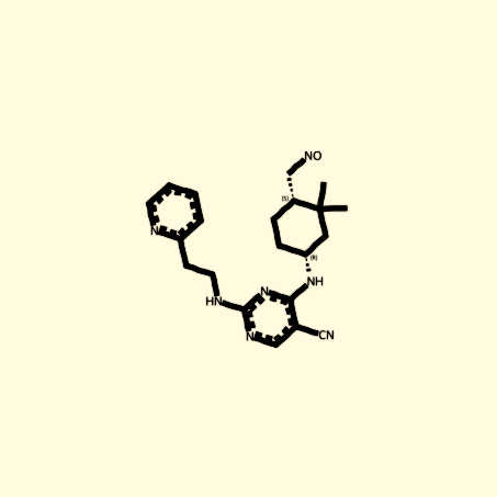 CC1(C)C[C@H](Nc2nc(NCCc3ccccn3)ncc2C#N)CC[C@@H]1CN=O